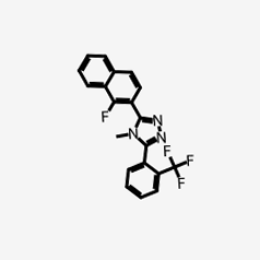 Cn1c(-c2ccccc2C(F)(F)F)nnc1-c1ccc2ccccc2c1F